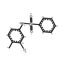 Cc1ccc(NS(=O)(=O)c2ccccc2)cc1Cl